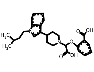 CC(C)CCn1cc(C2CCN(C(Oc3ccccc3C(=O)O)C(=O)O)CC2)c2ccccc21